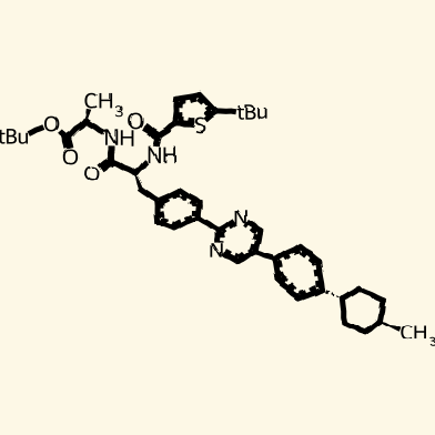 C[C@@H](NC(=O)[C@H](Cc1ccc(-c2ncc(-c3ccc([C@H]4CC[C@H](C)CC4)cc3)cn2)cc1)NC(=O)c1ccc(C(C)(C)C)s1)C(=O)OC(C)(C)C